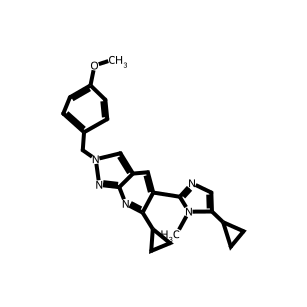 COc1ccc(Cn2cc3cc(-c4ncc(C5CC5)n4C)c(C4CC4)nc3n2)cc1